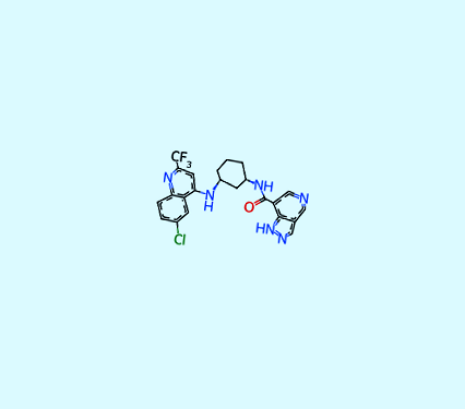 O=C(N[C@@H]1CCC[C@H](Nc2cc(C(F)(F)F)nc3ccc(Cl)cc23)C1)c1cncc2cn[nH]c12